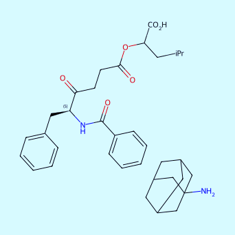 CC(C)CC(OC(=O)CCC(=O)[C@H](Cc1ccccc1)NC(=O)c1ccccc1)C(=O)O.NC12CC3CC(CC(C3)C1)C2